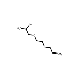 C=CCOCCOCC(C)O